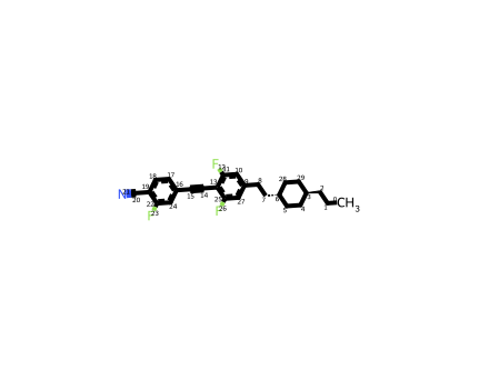 CCC[C@H]1CC[C@H](CCc2cc(F)c(C#Cc3ccc(C#N)c(F)c3)c(F)c2)CC1